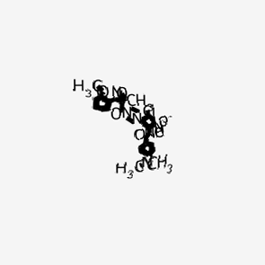 COc1ccccc1-c1noc(C)c1C(=O)N1CCN(c2cc(NC(=O)c3ccc(N(C)C)cc3)c([N+](=O)[O-])cc2Cl)CC1